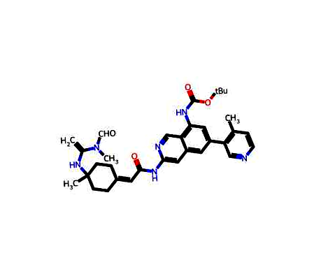 C=C(NC1(C)CCC(=CC(=O)Nc2cc3cc(-c4cnccc4C)cc(NC(=O)OC(C)(C)C)c3cn2)CC1)N(C)C=O